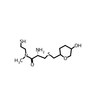 CN(CCS)C(=O)[C@H](N)CSCC1CCC(O)CO1